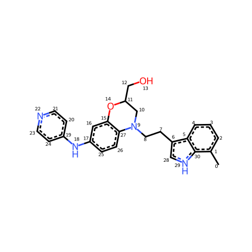 Cc1cccc2c(CCN3CC(CO)Oc4cc(Nc5ccncc5)ccc43)c[nH]c12